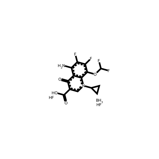 B.F.F.Nc1c(F)c(F)c(OC(F)F)c2c1c(=O)c(C(=O)O)cn2C1CC1